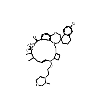 CC1C/C=C/C(OCCN2CCOCC2C)C2CCC2CN2CC3(CCCc4cc(Cl)ccc43)COc3ccc(cc32)C(=O)NS(=O)(=O)C1C